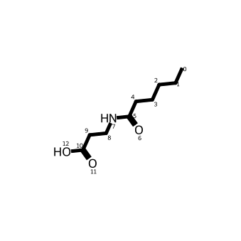 CCCCCC(=O)NCCC(=O)O